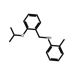 [CH2]c1ccccc1NCc1ccccc1OC(C)C